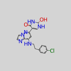 O=C1NC(O)NC=C1c1cc(NCCc2ccc(Cl)cc2)c2nccn2n1